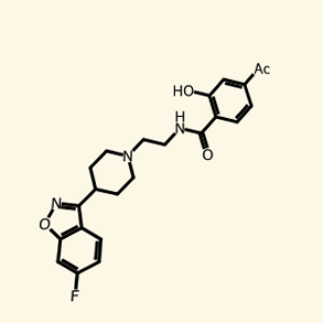 CC(=O)c1ccc(C(=O)NCCN2CCC(c3noc4cc(F)ccc34)CC2)c(O)c1